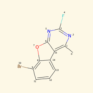 Cc1nc(F)nc2oc3c(Br)cccc3c12